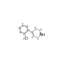 Clc1ccccc1C1=CCNCC1